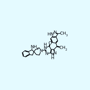 C=C(c1ccc2[nH]nc(C)c2c1)c1n[nH]c2nc(N3CCC4(CC3)Cc3ccccc3[C@H]4N)[nH]c(=O)c12